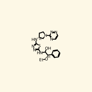 CCO[C@H](c1ccccc1)C(O)Nc1nnc(N[C@@H]2CCN(c3nccnn3)C2)s1